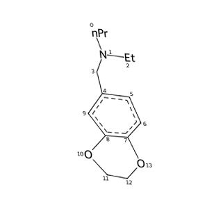 CCCN(CC)Cc1ccc2c(c1)OCCO2